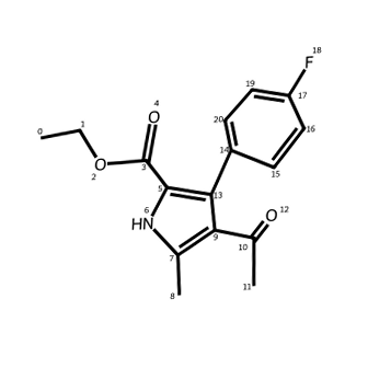 CCOC(=O)c1[nH]c(C)c(C(C)=O)c1-c1ccc(F)cc1